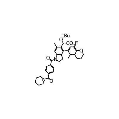 Cc1cc2c(c(C3=CC(F)=C4OCCCC4C3C)c1[C@H](OC(C)(C)C)C(=O)O)CCN2C(=O)c1ccc(C(=O)N2CCCCC2)cc1